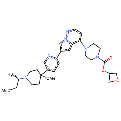 COC[C@@H](C)N1CCC(OC)(c2ccc(-c3cc4c(N5CCN(C(=O)OC6COC6)CC5)ccnn4c3)nc2)CC1